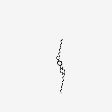 C=CCCCCCCCOc1ccc(N2CCN(CCCCCCCCC)CC2)cc1